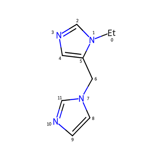 CCn1cncc1Cn1ccnc1